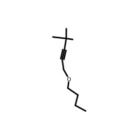 CCCCOCC#CC(C)(C)C